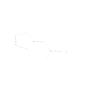 CCCN(C)CC1CCCC1C